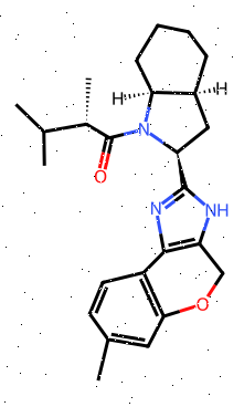 Cc1ccc2c(c1)OCc1[nH]c([C@@H]3C[C@@H]4CCCC[C@@H]4N3C(=O)[C@@H](C)C(C)C)nc1-2